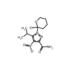 CC(C)c1c([N+](=O)[O-])c(C(N)=O)nn1C1(Cl)CCCCO1